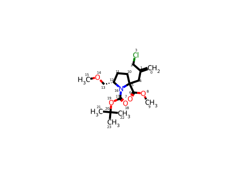 C=C(CCl)CC1(C(=O)OC)CC[C@@H](COC)N1C(=O)OC(C)(C)C